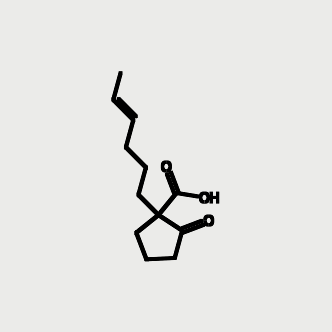 CC=CCCCC1(C(=O)O)CCCC1=O